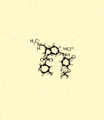 CNCc1cn(S(=O)(=O)c2cncc(F)c2)c2cc(Nc3ccc(OC(F)(F)F)cc3Cl)ccc12.Cl